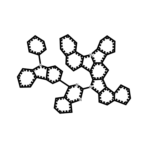 c1ccc(-n2c3ccccc3c3cc(-c4nc(-n5c6ccc7ccccc7c6c6cc7c8ccccc8n8c9c%10ccccc%10ccc9c(c65)c78)nc5ccccc45)ccc32)cc1